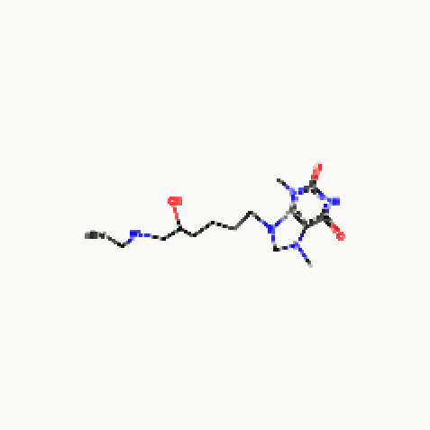 CCCCCCCCCCCNCC(O)CCCCN1CN(C)c2c1n(C)c(=O)[nH]c2=O